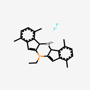 CCP1C2=Cc3c(C)ccc(C)c3[CH]2[Hf+2][CH]2C1=Cc1c(C)ccc(C)c12.[F-].[F-]